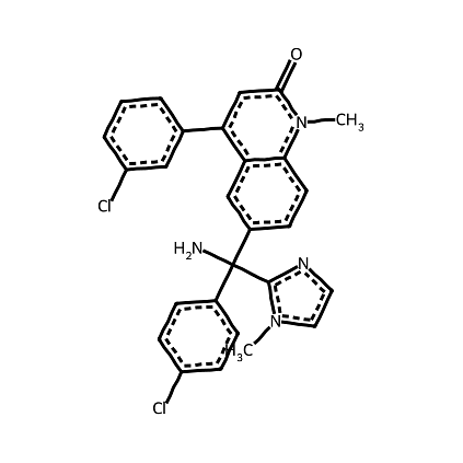 Cn1ccnc1C(N)(c1ccc(Cl)cc1)c1ccc2c(c1)c(-c1cccc(Cl)c1)cc(=O)n2C